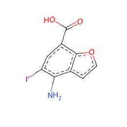 Nc1c(I)cc(C(=O)O)c2occc12